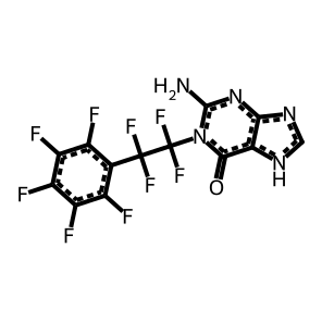 Nc1nc2nc[nH]c2c(=O)n1C(F)(F)C(F)(F)c1c(F)c(F)c(F)c(F)c1F